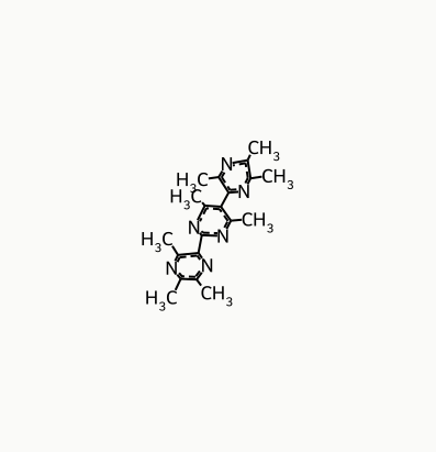 Cc1nc(C)c(-c2nc(C)c(-c3nc(C)c(C)nc3C)c(C)n2)nc1C